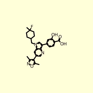 Cc1noc(C)c1-c1cnc2c(-c3ccc(C(=O)O)c(O)c3)cn(CC3CCC(C)(F)CC3)c2c1